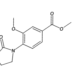 COC(=O)c1ccc(N2CCCC2=O)c(OC)c1